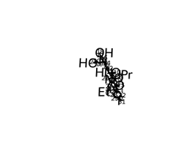 CCc1cc2c(c(OC(C)C)c(C(=O)NCCCN(CCO)CCO)n2C)c(=O)n1-c1ccc(F)cc1